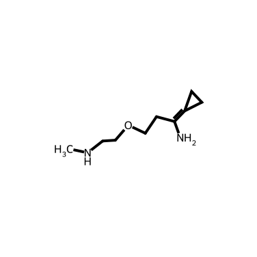 CNCCOCCC(N)=C1CC1